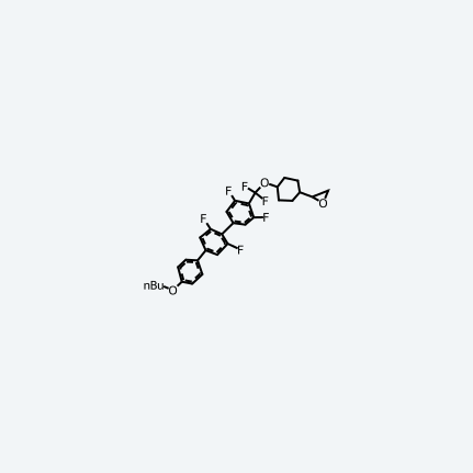 CCCCOc1ccc(-c2cc(F)c(-c3cc(F)c(C(F)(F)OC4CCC(C5CO5)CC4)c(F)c3)c(F)c2)cc1